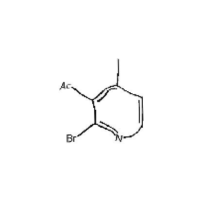 CC(=O)c1c(C)ccnc1Br